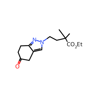 CCOC(=O)C(C)(C)CCn1cc2c(n1)CCC(=O)C2